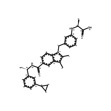 Cc1c(C)n(Cc2cccc(N[C@@H](C)C(=O)O)c2)c2ccc(C(=O)N[C@@H](C)c3cccc(C4CC4)c3)cc12